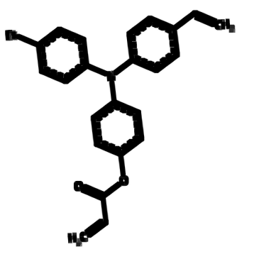 C=CC(=O)Oc1ccc(N(c2ccc(C=C)cc2)c2ccc(CC)cc2)cc1